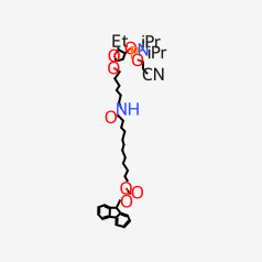 CCC1OC(OCCCCCCNC(=O)CCCCCCCCCCCOC(=O)OCC2c3ccccc3-c3ccccc32)CC1OP(OCCC#N)N(C(C)C)C(C)C